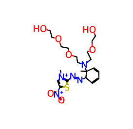 C[n+]1cc([N+](=O)[O-])sc1/N=N/C1C=CC=CC1(C)N(CCOCCO)CCOCCOCCO